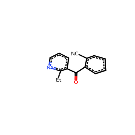 CCc1ncccc1C(=O)c1ccccc1C#N